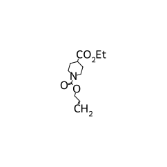 C=CCOC(=O)N1CCC(C(=O)OCC)CC1